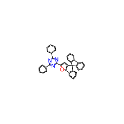 c1ccc(-c2nc(-c3ccccc3)nc(-c3cc4c(o3)-c3ccccc3C43c4ccccc4-c4ccccc43)n2)cc1